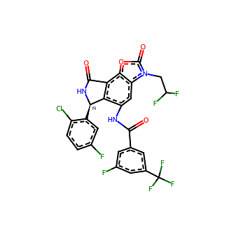 O=C(Nc1cc2c(oc(=O)n2CC(F)F)c2c1[C@@H](c1cc(F)ccc1Cl)NC2=O)c1cc(F)cc(C(F)(F)F)c1